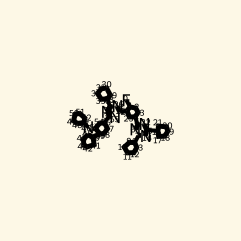 Fc1ccc(-c2nc(-c3ccccc3)nc(-c3ccccc3)n2)cc1-c1nc(-c2ccccc2)nc(-c2ccc3c4ccccc4n(-c4ccccc4)c3c2)n1